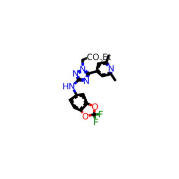 CCOC(=O)Cn1nc(Nc2ccc3c(c2)OC(F)(F)O3)nc1-c1cc(C)nc(C)c1